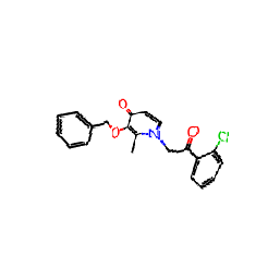 Cc1c(OCc2ccccc2)c(=O)ccn1CC(=O)c1ccccc1Cl